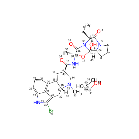 CC(C)C[C@H]1C(=O)N2CCC[C@H]2[C@]2(O)O[C@](NC(=O)[C@@H]3C=C4c5cccc6[nH]c(Br)c(c56)C[C@H]4N(C)C3)(C(C)C)C(=O)N12.CS(=O)(=O)O.[CH2]CC(C)O